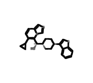 O[C@H](c1c(C2CC2)ccc2cncn12)[C@H]1CC[C@H](c2csc3ccccc32)CC1